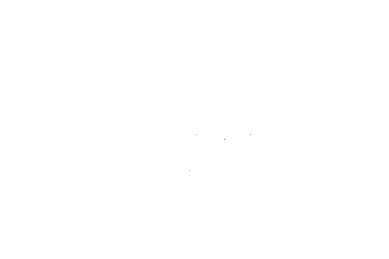 Cc1nc([C@H](C)NC(=O)c2cc(OCCc3ccc(Cl)cc3)cc(C(F)(F)F)c2)n(-c2ccc(C#N)cn2)n1